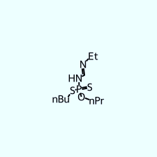 CCCCSP(=S)(NC=NCC)OCCC